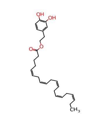 CC/C=C\C/C=C\C/C=C\C/C=C\C/C=C\CCCC(=O)OCCc1ccc(O)c(O)c1